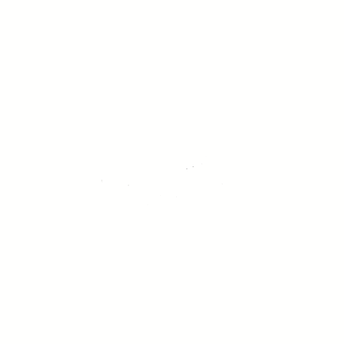 CCC(C)c1c(C)cc(C)cc1C